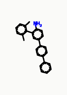 Cc1cccc(C)c1-c1cc(-c2ccc(-c3ccccc3)cc2)ccc1N